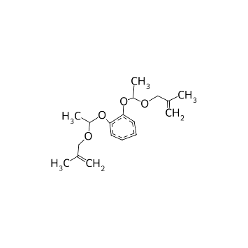 C=C(C)COC(C)Oc1ccccc1OC(C)OCC(=C)C